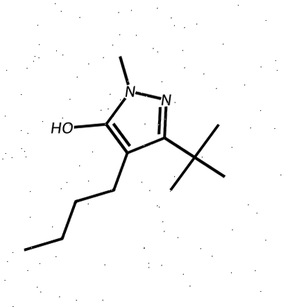 CCCCc1c(C(C)(C)C)nn(C)c1O